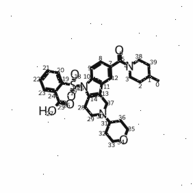 CC1CCN(C(=O)c2ccc3c(c2)c2c(n3S(=O)(=O)c3ccccc3C(=O)O)CCN(C3CCOCC3)C2)CC1